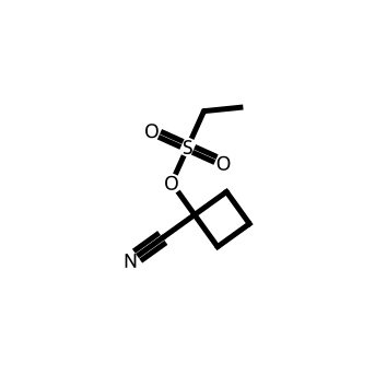 CCS(=O)(=O)OC1(C#N)CCC1